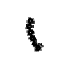 CC1(c2ncc(-c3ccc(-c4ccc(-c5cnc(C6CCCN6)[nH]5)cc4)cc3)[nH]2)CCCN1